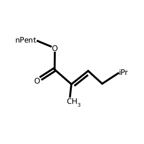 CCCCCOC(=O)C(C)=CCC(C)C